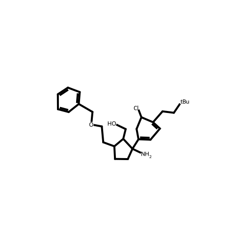 CC(C)(C)CCC1=CC=C(C2(N)CCC(CCOCc3ccccc3)C2CO)CC1Cl